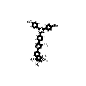 Cc1cc(-c2ccc3c(c2)C(C)(C)C(F)(F)C3(C)C)ncc1-c1ccc(-c2nc(-c3ccc(C(C)(C)C)cc3)nc(-c3ccc(C(C)(C)C)cc3)n2)cc1